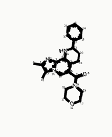 Cc1nc2c3c(c(C(=O)N4CCOCC4)cn2c1C)CCC(c1ccccc1)N3